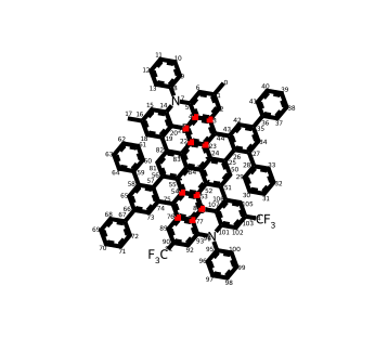 Cc1ccc2c(c1)N(c1ccccc1)c1cc(C)cc3c1B2c1cc2c(-c4c(-c5ccccc5)cc(-c5ccccc5)cc4-c4ccccc4)cc4c5c(cc6c(-c7c(-c8ccccc8)cc(-c8ccccc8)cc7-c7ccccc7)cc-3c1c6c25)B1c2ccc(C(F)(F)F)cc2N(c2ccccc2)c2cc(C(F)(F)F)cc-4c21